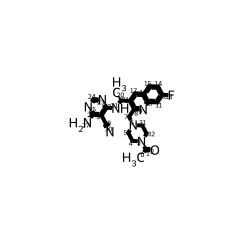 CC(=O)N1CCN(Cc2nc3cc(F)ccc3cc2[C@H](C)Nc2ncnc(N)c2C#N)CC1